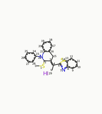 CSC1C(=C(C)c2nc3ccccc3s2)Cc2ccccc2N1c1ccccc1.I